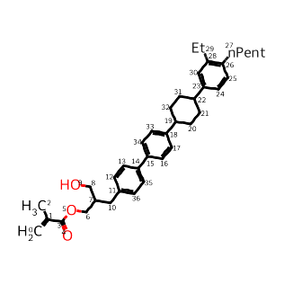 C=C(C)C(=O)OCC(CO)Cc1ccc(-c2ccc(C3CCC(c4ccc(CCCCC)c(CC)c4)CC3)cc2)cc1